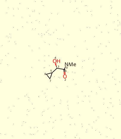 CNC(=O)[C@H](O)C1CC1